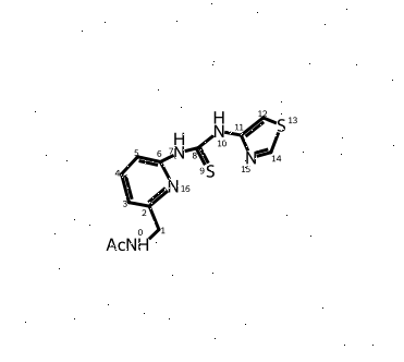 CC(=O)NCc1cccc(NC(=S)Nc2cscn2)n1